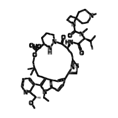 CCn1c(-c2cccnc2[C@H](C)OC)c2c3cc(ccc31)-c1csc(n1)C[C@H](NC(=O)[C@H](C(C)C)N(C)C(=O)N1CCC13CCN(C)CC3)C(=O)N1CCC[C@@](O)(N1)C(=O)OCC(C)(C)C2